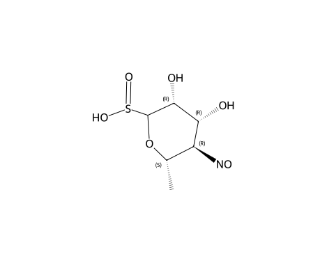 C[C@@H]1OC(S(=O)O)[C@H](O)[C@H](O)[C@H]1N=O